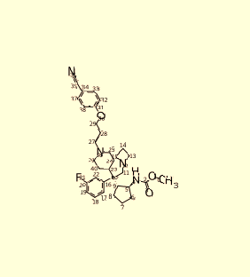 COC(=O)N[C@H]1CCC[C@@H]1C(CN1CCC1)(c1cccc(F)c1)C1CCN(CCCOc2ccc(C#N)cc2)CC1